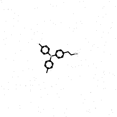 Cc1ccc(N(c2ccc(C)cc2)c2ccc(CCO)cc2)cc1